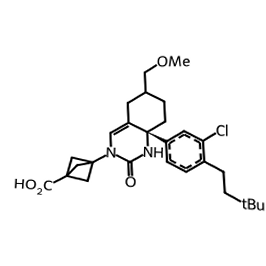 COCC1CC[C@]2(c3ccc(CCC(C)(C)C)c(Cl)c3)NC(=O)N(C34CC(C(=O)O)(C3)C4)C=C2C1